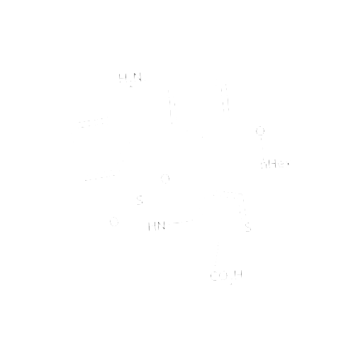 CCCCCCOc1ccc(N)cc1.O=C(O)c1sccc1NS(=O)(=O)c1ccccc1